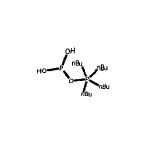 CCCCP(CCCC)(CCCC)(CCCC)OP(O)O